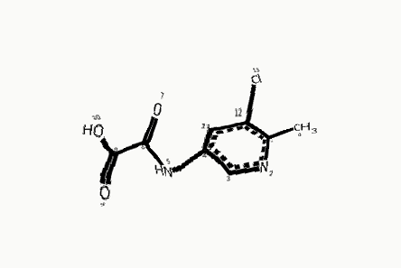 Cc1ncc(NC(=O)C(=O)O)cc1Cl